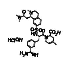 CC1=CCN(C(=O)[C@H](Cc2cccc(C(=N)N)c2)NS(=O)(=O)c2ccc3c(c2)[C@@H](CC(=O)N(C)C)N(C)CC3)[C@@H](C(=O)O)C1.Cl.Cl